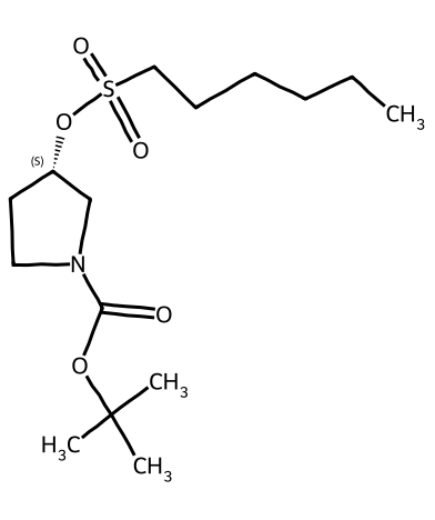 CCCCCCS(=O)(=O)O[C@H]1CCN(C(=O)OC(C)(C)C)C1